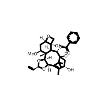 C=C[C@@H]1O[C@@H]2C3=C(C)[C@@H](O)C[C@@](O)([C@@H](OC(=O)c4ccccc4)[C@@H]4[C@]5(OC(C)=O)CO[C@@H]5C[C@H](OC)[C@@]4(C)[C@@H]2O1)C3(C)C